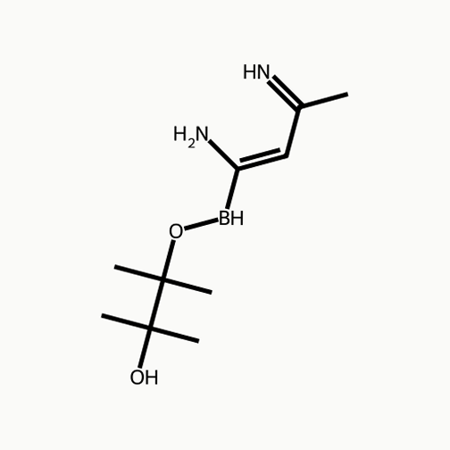 CC(=N)/C=C(\N)BOC(C)(C)C(C)(C)O